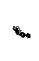 CC(C)Cc1sc(Nc2ncc(-c3cccs3)cc2C(=O)O)nc1C(F)(F)F